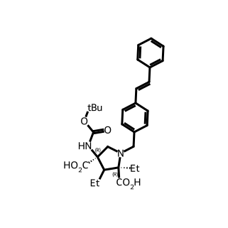 CCC1[C@](CC)(C(=O)O)N(Cc2ccc(C=Cc3ccccc3)cc2)C[C@@]1(NC(=O)OC(C)(C)C)C(=O)O